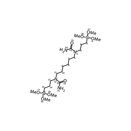 CO[Si](CCCN(CCCCCCN(CCC[Si](OC)(OC)OC)C(N)=O)C(N)=O)(OC)OC